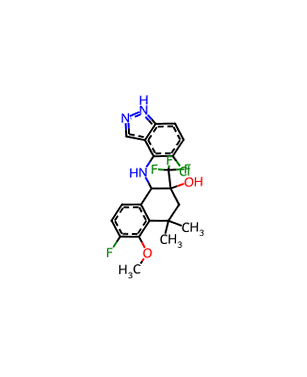 COc1c(F)ccc2c1C(C)(C)CC(O)(C(F)(F)F)C2Nc1c(Cl)ccc2[nH]ncc12